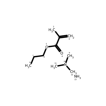 C=C(C)C(=O)OCCC.CN(C)C.N